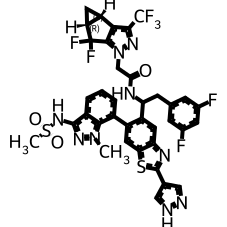 Cn1nc(NS(C)(=O)=O)c2cccc(-c3cc4sc(-c5cn[nH]c5)nc4cc3C(Cc3cc(F)cc(F)c3)NC(=O)Cn3nc(C(F)(F)F)c4c3C(F)(F)[C@@H]3C[C@H]43)c21